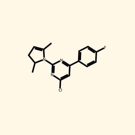 CC1=CCC(C)N1c1nc(Cl)cc(-c2ccc(F)cc2)n1